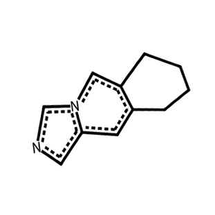 c1ncn2cc3c(cc12)CCCC3